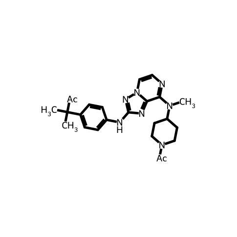 CC(=O)N1CCC(N(C)c2nccn3nc(Nc4ccc(C(C)(C)C(C)=O)cc4)nc23)CC1